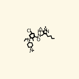 CCCCc1nn(C)c(OC)c1CNC(=O)c1cc(Cl)cc(N(CC)C2CCC(N(C)C)CC2)c1C